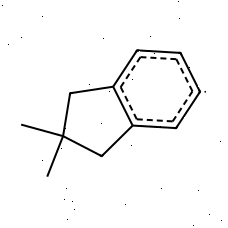 CC1(C)Cc2c[c]ccc2C1